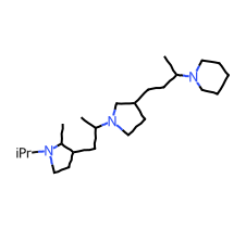 CC(CCC1CCN(C(C)CC2CCN(C(C)C)C2C)C1)N1CCCCC1